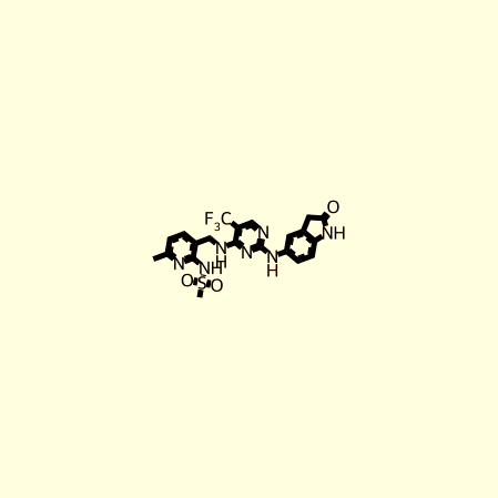 Cc1ccc(CNc2nc(Nc3ccc4c(c3)CC(=O)N4)ncc2C(F)(F)F)c(NS(C)(=O)=O)n1